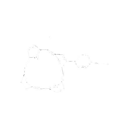 O=C(O)c1ccc(C2=CC3=CC4=NC(=CC5=NC(=CC6=NC(=CC2=N3)C=C6)C=C5)C=C4)cc1.[Cu]